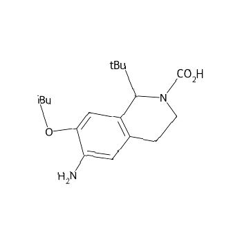 CCC(C)Oc1cc2c(cc1N)CCN(C(=O)O)C2C(C)(C)C